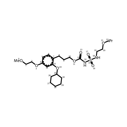 COCCOc1ccc(CCCOC(=O)NS(=O)(=O)NCCOC(C)C)c(OC2CCCCC2)c1